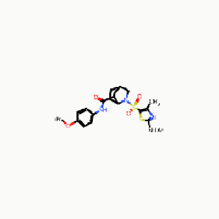 CC(=O)Nc1nc(C)c(S(=O)(=O)N2CC3CCC2C(C(=O)Nc2ccc(OC(C)C)cc2)C3)s1